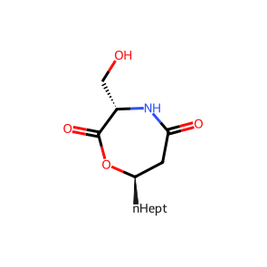 CCCCCCC[C@@H]1CC(=O)N[C@@H](CO)C(=O)O1